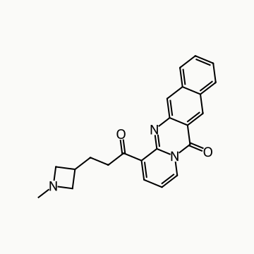 CN1CC(CCC(=O)c2cccn3c(=O)c4cc5ccccc5cc4nc23)C1